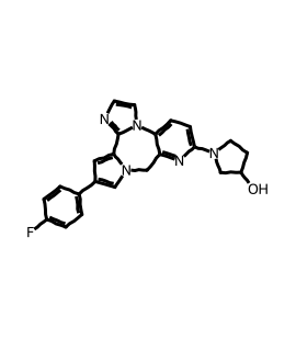 OC1CCN(c2ccc3c(n2)Cn2cc(-c4ccc(F)cc4)cc2-c2nccn2-3)C1